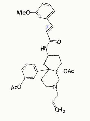 C=CCN1CCC2(c3cccc(OC(C)=O)c3)CC(NC(=O)/C=C/c3cccc(OC)c3)CCC2(OC(C)=O)C1